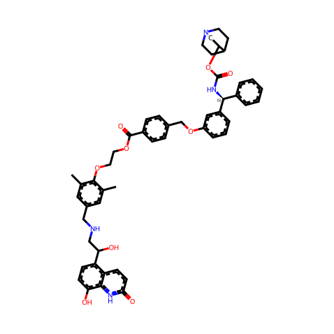 Cc1cc(CNCC(O)c2ccc(O)c3[nH]c(=O)ccc23)cc(C)c1OCCOC(=O)c1ccc(COc2cccc([C@@H](NC(=O)OC3CN4CCC3CC4)c3ccccc3)c2)cc1